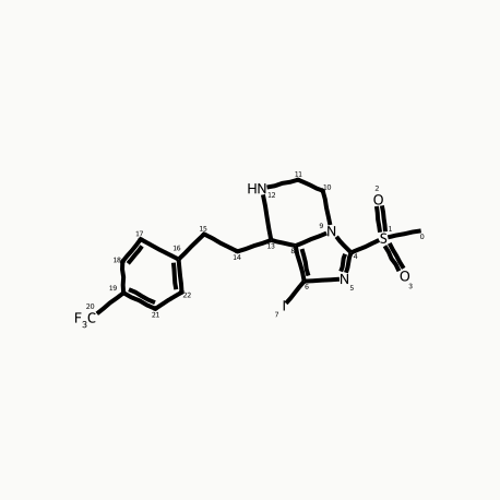 CS(=O)(=O)c1nc(I)c2n1CCNC2CCc1ccc(C(F)(F)F)cc1